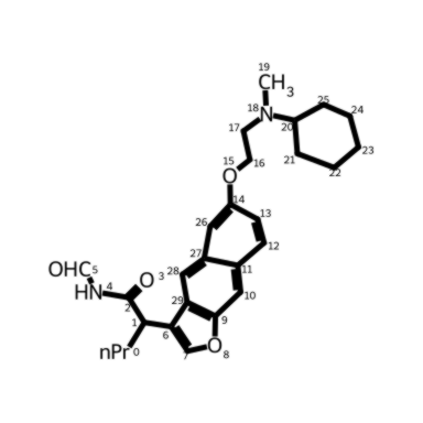 CCCC(C(=O)NC=O)c1coc2cc3ccc(OCCN(C)C4CCCCC4)cc3cc12